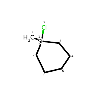 C[Si]1(Cl)CCCCC1